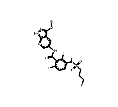 CCOc1n[nH]c2ncc(NC(=O)c3c(F)ccc(NS(=O)(=O)CCCF)c3F)cc12